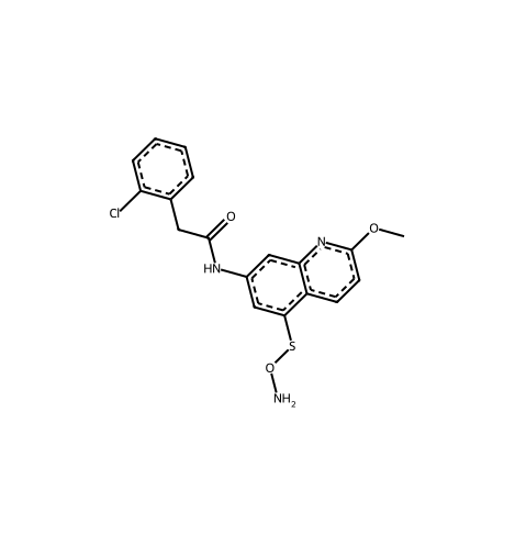 COc1ccc2c(SON)cc(NC(=O)Cc3ccccc3Cl)cc2n1